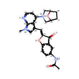 CC(=O)Nc1ccc2c(c1)C(=O)/C(=C/c1cn(C)c3nccc(N4CC5CCC(C4)O5)c13)O2